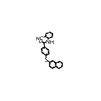 N#Cc1ccccc1NC(=O)c1ccc(Sc2ccc3ccccc3c2)cc1